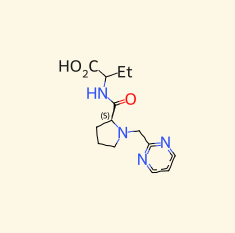 CCC(NC(=O)[C@@H]1CCCN1Cc1ncccn1)C(=O)O